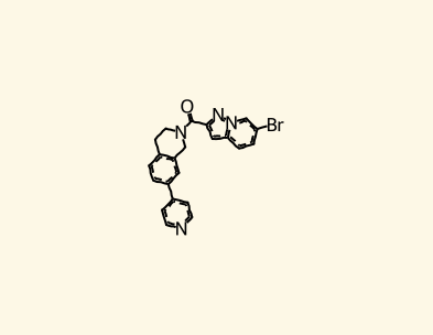 O=C(c1cc2ccc(Br)cn2n1)N1CCc2ccc(-c3ccncc3)cc2C1